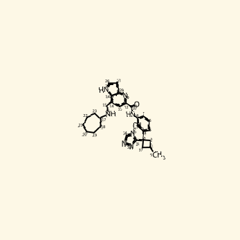 CC1CC(c2cccc(NC(=O)c3cc(CNC4CCCCCC4)c4[nH]ccc4n3)c2)(c2nncn2C)C1